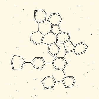 C1=CCCC(c2ccc(-c3nc(-c4ccccc4-c4ccccc4)nc(-n4c5ccccc5c5cc6c7ccccc7n(C7=C(c8ccccc8)C=CCC7c7ccccc7)c6cc54)n3)cc2)=C1